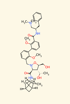 COc1c(CN2O[C@@H](CO)[C@H]([C@H](C)O)[C@H]2C(=O)N[C@H]2C[C@H]3C[C@@H]([C@@H]2C)C3(C)C)cccc1-c1cccc(C(=O)N[C@H](Cc2ccccc2)CN(C)C)c1OC